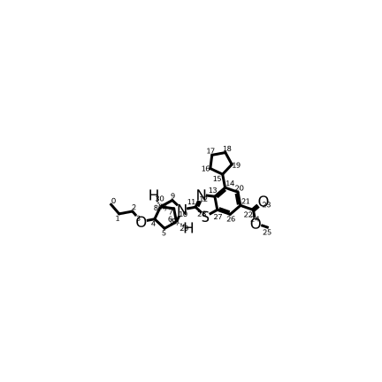 CCCOC1C[C@H]2C[C@@H]1CN2c1nc2c(C3CCCC3)cc(C(=O)OC)cc2s1